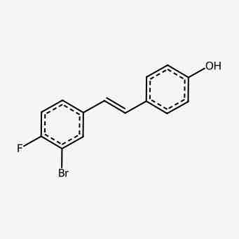 Oc1ccc(C=Cc2ccc(F)c(Br)c2)cc1